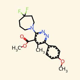 COC(=O)c1c(N2CCCC(F)(F)CC2)nnc(-c2ccc(OC)cc2)c1C